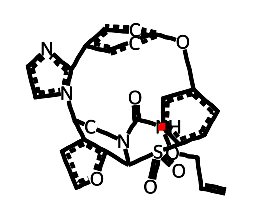 C=CCONC(=O)N1CC2c3ccoc3C1S(=O)(=O)c1ccc(cc1)Oc1ccc(cc1)-c1nccn12